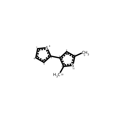 Cc1cc(-c2cccs2)c(C)s1